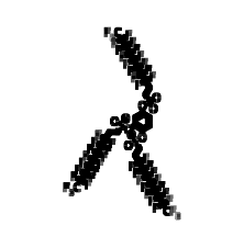 O=S(=O)(CCC(F)(F)C(F)(F)C(F)(F)C(F)(F)C(F)(F)C(F)(F)C(F)(F)C(F)(F)F)Oc1ccc(OS(=O)(=O)CCC(F)(F)C(F)(F)C(F)(F)C(F)(F)C(F)(F)C(F)(F)C(F)(F)C(F)(F)F)c(OS(=O)(=O)CCC(F)(F)C(F)(F)C(F)(F)C(F)(F)C(F)(F)C(F)(F)C(F)(F)C(F)(F)F)c1